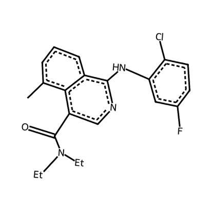 CCN(CC)C(=O)c1cnc(Nc2cc(F)ccc2Cl)c2cccc(C)c12